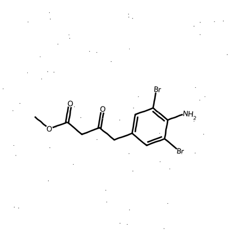 COC(=O)CC(=O)Cc1cc(Br)c(N)c(Br)c1